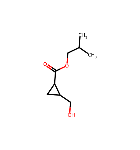 CC(C)COC(=O)C1CC1CO